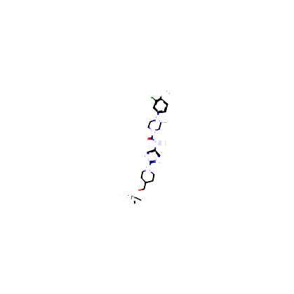 C[C@@H]1CN(c2ccc(C#N)c(Cl)c2)[C@@H](C)CN1C(=O)Nc1cnc(N2CCC(CO[Si](C)(C)C(C)(C)C)CC2)nc1